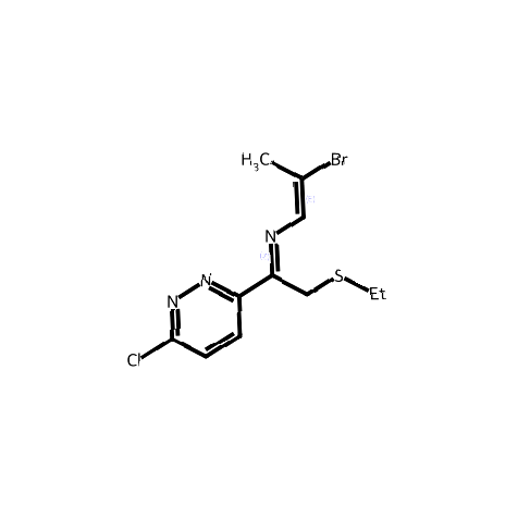 CCSC/C(=N\C=C(/C)Br)c1ccc(Cl)nn1